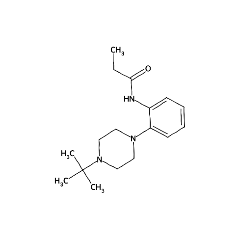 CCC(=O)Nc1ccccc1N1CCN(C(C)(C)C)CC1